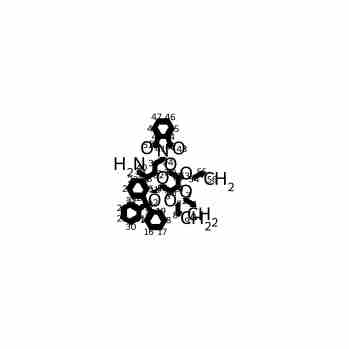 C=CCO[C@H]1[C@@H](OCC=C)[C@@H](COC(c2ccccc2)(c2ccccc2)c2ccccc2)O[C@@H](OC(CCCCN)N2C(=O)c3ccccc3C2=O)[C@@H]1OCC=C